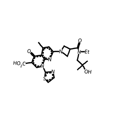 CCN(CC(C)(C)O)C(=O)C1CN(c2cc(C)c3c(=O)c(C(=O)O)cn(-c4nccs4)c3n2)C1